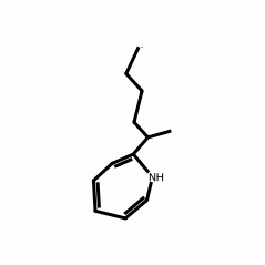 [CH2]CCCC(C)C1=CC=CC=CN1